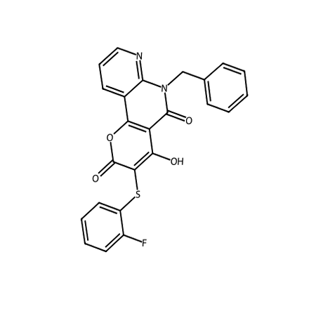 O=c1oc2c(c(O)c1Sc1ccccc1F)c(=O)n(Cc1ccccc1)c1ncccc21